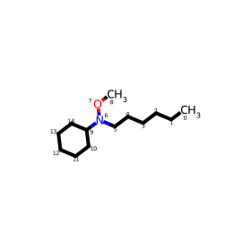 CCCCCCN(OC)C1CCCCC1